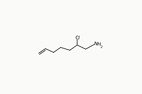 C=CCCCC(Cl)CN